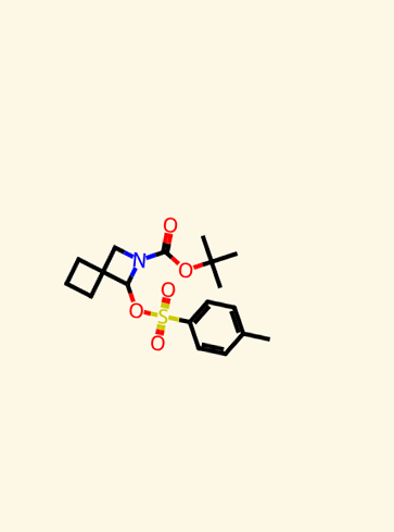 Cc1ccc(S(=O)(=O)OC2N(C(=O)OC(C)(C)C)CC23CCC3)cc1